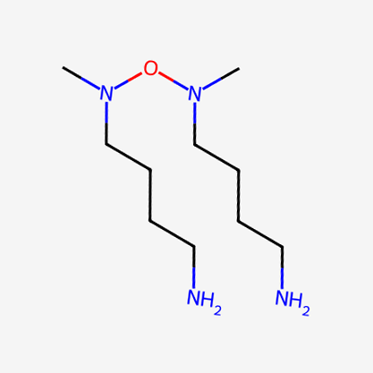 CN(CCCCN)ON(C)CCCCN